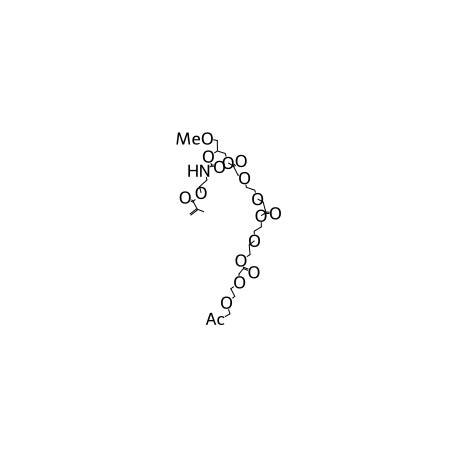 C=C(C)C(=O)OCCNC(=O)OC(COC)COC(=O)COCCOCC(=O)OCCOCCOC(=O)COCCOCC(C)=O